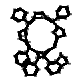 C1=Cc2nc1cc1[nH]c(c(-c3ccccc3)c3nc(c(-c4ccccc4)c4ccc([nH]4)c2-c2ccccc2)C=C3)c(-c2ccccc2)c1-c1cccc2nc[nH]c12